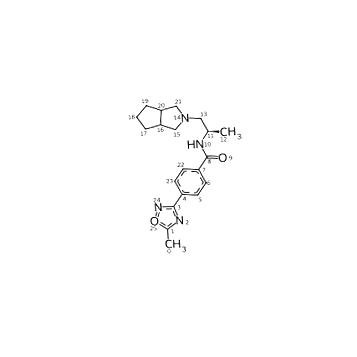 Cc1nc(-c2ccc(C(=O)N[C@H](C)CN3CC4CCCC4C3)cc2)no1